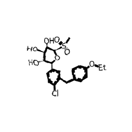 CCOc1ccc(Cc2cc([C@@H]3O[C@H](S(C)(=O)=O)[C@@H](O)[C@H](O)[C@H]3O)ccc2Cl)cc1